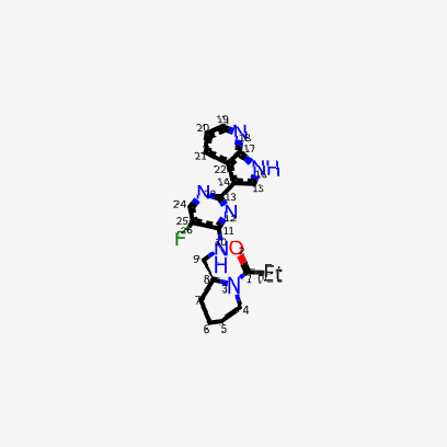 CCC(=O)N1CCCC[C@H]1CNc1nc(-c2c[nH]c3ncccc23)ncc1F